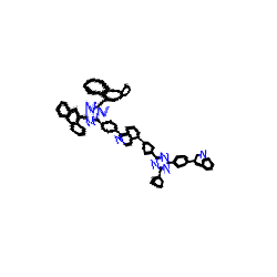 c1ccc(-c2nc(-c3ccc(-c4cnc5ccccc5c4)cc3)nc(-c3ccc(-c4cccc5c(-c6ccc(-c7nc(-c8cc9ccccc9c9ccccc89)nc(-c8cc9ccccc9c9ccccc89)n7)cc6)nccc45)cc3)n2)cc1